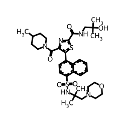 CC1CCN(C(=O)c2nc(C(=O)NCC(C)(C)O)sc2-c2ccc(S(=O)(=O)NC(C)(C)CN3CCOCC3)c3ccccc23)CC1